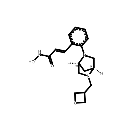 O=C(C=Cc1ccccc1N1C[C@@H]2C[C@H]1CN2CC1COC1)NO